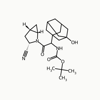 CC(C)(C)OC(=O)NC(C(=O)N1[C@H](C#N)C[C@@H]2C[C@@H]21)C12CC3CC(CC(O)(C3)C1)C2